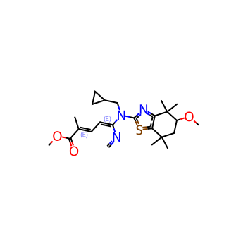 C=N/C(=C\C=C(/C)C(=O)OC)N(CC1CC1)c1nc2c(s1)C(C)(C)CC(OC)C2(C)C